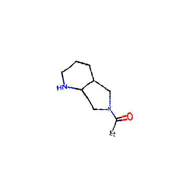 CCC(=O)N1CC2CCCNC2C1